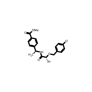 COC(=O)c1ccc([C@H](C)NC(=O)[C@H](OCc2ccc(Cl)cc2)C(C)C)cc1